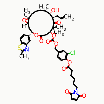 C=CC[C@H]1C(=O)C(C)(C)[C@@H](OC(=O)OCc2ccc(OC(=O)CCCCCN3C(=O)C=CC3=O)c(Cl)c2)CC(=O)O[C@H](c2ccc3sc(C)nc3c2)C[C@@H]2O[C@]2(C)CCC[C@H](C)[C@@H]1O